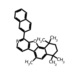 Cc1cc2c(c3oc4c(-c5ccc6ccccc6c5)nccc4c13)C(C)(C)CCC2(C)C